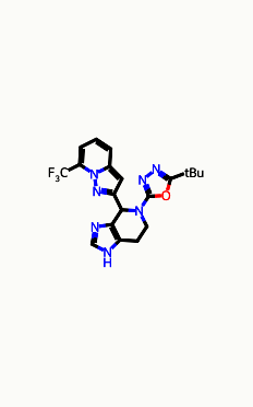 CC(C)(C)c1nnc(N2CCc3[nH]cnc3C2c2cc3cccc(C(F)(F)F)n3n2)o1